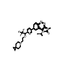 CC(C)n1c(=O)n(C)c2nnc3ccc(-c4ccc(C(OCCN5CCC6(CC5)CC6)C(F)(F)F)nc4)cc3c21